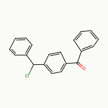 O=C(c1ccccc1)c1ccc(C(Cl)c2ccccc2)cc1